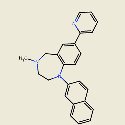 CN1CCN(c2ccc3ccccc3c2)c2ccc(-c3ccccn3)cc2C1